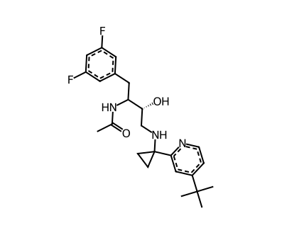 CC(=O)NC(Cc1cc(F)cc(F)c1)[C@H](O)CNC1(c2cc(C(C)(C)C)ccn2)CC1